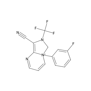 N#CC1=C2N=CC=C[N+]2(c2cccc(F)c2)CN1C(F)(F)F